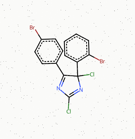 ClC1=NC(Cl)(c2ccccc2Br)C(c2ccc(Br)cc2)=N1